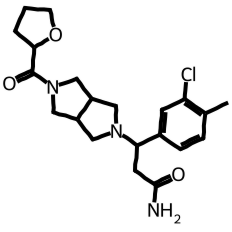 Cc1ccc(C(CC(N)=O)N2CC3CN(C(=O)C4CCCO4)CC3C2)cc1Cl